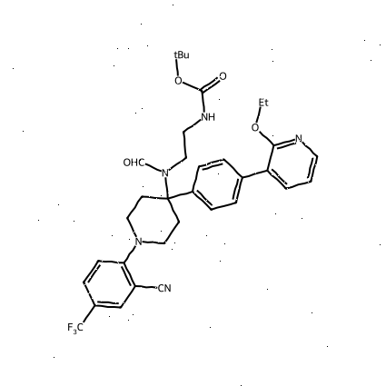 CCOc1ncccc1-c1ccc(C2(N(C=O)CCNC(=O)OC(C)(C)C)CCN(c3ccc(C(F)(F)F)cc3C#N)CC2)cc1